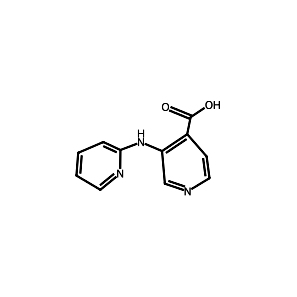 O=C(O)c1ccncc1Nc1ccccn1